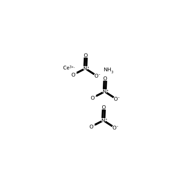 N.O=[N+]([O-])[O-].O=[N+]([O-])[O-].O=[N+]([O-])[O-].[Ce+3]